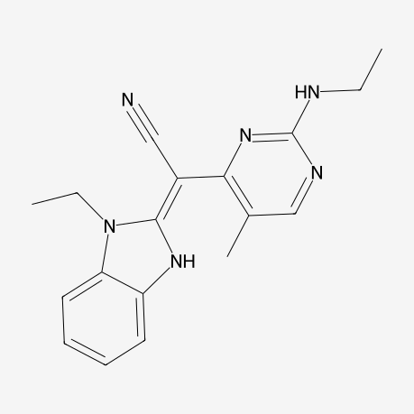 CCNc1ncc(C)c(C(C#N)=C2Nc3ccccc3N2CC)n1